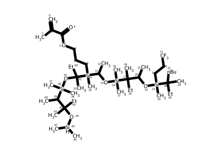 C=C(C)C(=O)OCCC[Si](C)(C(C)O[Si](C)(C)C(C)(CC)C(C)O[Si](C)(CCC(F)(F)F)C(C)(CC)CCCC)C(C)(CC)O[Si](C)(C)C(C)C(C)(CC)O[SiH](C)C